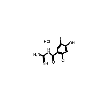 Cl.N=C(N)NC(=O)c1cc(I)c(O)cc1Cl